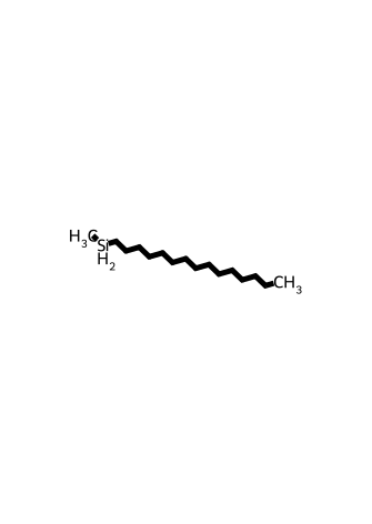 CCCCCCCCCCCCCCC[SiH2]C